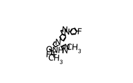 Cn1cc([C@@H]2[C@H](NC(=O)C(C)(F)F)CCN2c2ccc3c(cnn3-c3ccc(F)cc3)c2)cn1